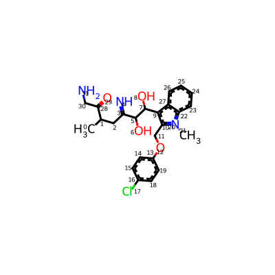 CC(CC(=N)C(O)C(O)c1c(COc2ccc(Cl)cc2)n(C)c2ccccc12)C(=O)CN